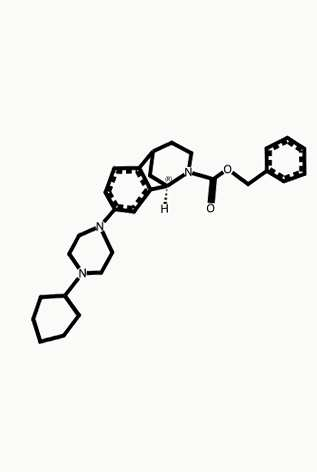 O=C(OCc1ccccc1)N1CCC2C[C@@H]1c1cc(N3CCN(C4CCCCC4)CC3)ccc12